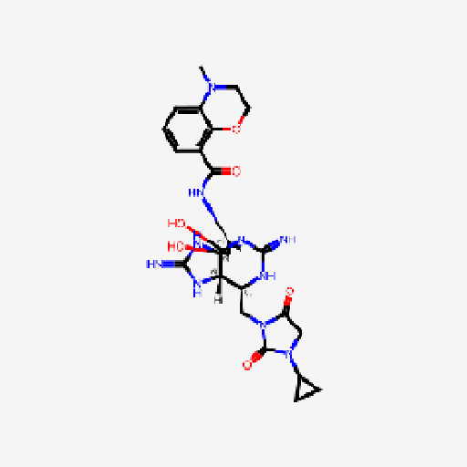 CN1CCOc2c(C(=O)N[C@H]3CN4C(=N)N[C@@H](CN5C(=O)CN(C6CC6)C5=O)[C@@H]5NC(=N)N[C@@]54C3(O)O)cccc21